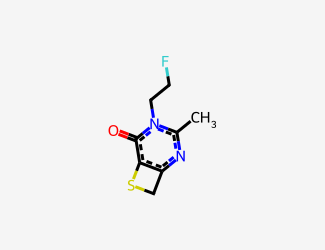 Cc1nc2c(c(=O)n1CCF)SC2